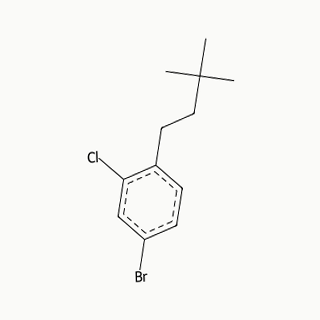 CC(C)(C)CCc1ccc(Br)cc1Cl